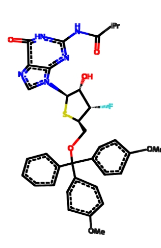 COc1ccc(C(OC[C@H]2S[C@@H](n3cnc4c(=O)[nH]c(NC(=O)C(C)C)nc43)[C@H](O)[C@@H]2F)(c2ccccc2)c2ccc(OC)cc2)cc1